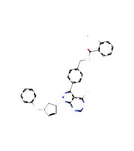 COc1ccccc1C(=O)NCc1ccc(-c2nn([C@H]3C=C[C@@H](Oc4ccccc4)C3)c3ncnc(N)c23)cc1